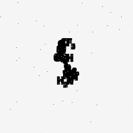 Cc1nc(N)c2ncn(CCCCNC(=O)c3ccc(OC(F)(F)F)cc3)c2c1C